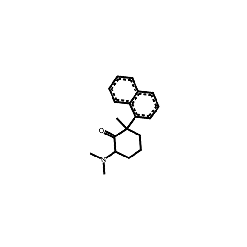 CN(C)C1CCCC(C)(c2cccc3ccccc23)C1=O